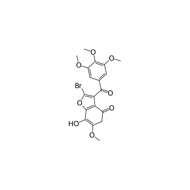 COC1=C(O)c2oc(Br)c(C(=O)c3cc(OC)c(OC)c(OC)c3)c2C(=O)C1